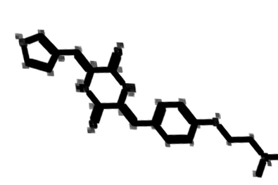 CN(C)CCSc1ccc(C=c2[nH]c(=O)c(=Cc3ccoc3)[nH]c2=O)cc1